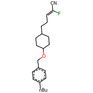 CCCCc1ccc(COC2CCC(CCC=C(F)C#N)CC2)cc1